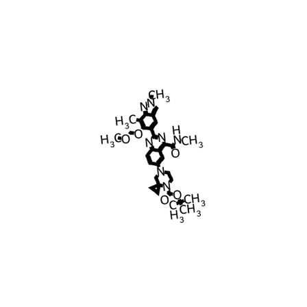 CNC(=O)c1nc(-c2cc3cn(C)nc3c(C)c2OCOC)nc2ccc(N3CCN(C(=O)OC(C)(C)C)C4(CC4)C3)cc12